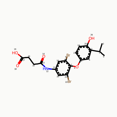 CC(C)c1cc(Oc2c(Br)cc(NC(=O)CCC(=O)O)cc2Br)ccc1O